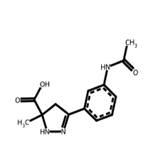 CC(=O)Nc1cccc(C2=NNC(C)(C(=O)O)C2)c1